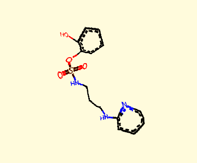 O=S(=O)(NCCCNc1ccccn1)Oc1ccccc1O